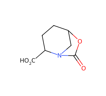 O=C(O)C1CCC2CN1C(=O)O2